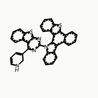 C1=CNCC(c2nc(-n3c4ccccc4c4c5ccccc5c5sc6ccccc6c5c43)nc3sc4ccccc4c23)=C1